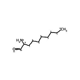 CCCCCCCCC(N)C=O